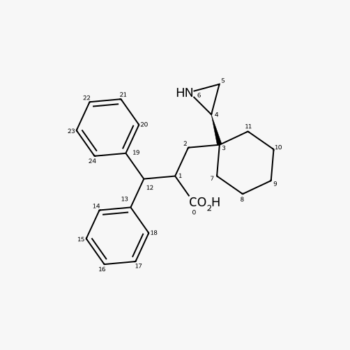 O=C(O)C(CC1([C@@H]2CN2)CCCCC1)C(c1ccccc1)c1ccccc1